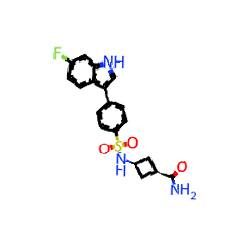 NC(=O)[C@H]1C[C@@H](NS(=O)(=O)c2ccc(-c3c[nH]c4cc(F)ccc34)cc2)C1